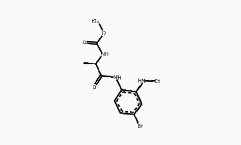 CCNc1cc(Br)ccc1NC(=O)[C@@H](C)NC(=O)OC(C)(C)C